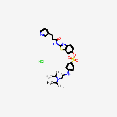 CC(C)N(CCNc1ccc(S(=O)(=O)Oc2ccc3nc(NC(=O)CCc4cccnc4)sc3c2)cc1)C(C)C.Cl